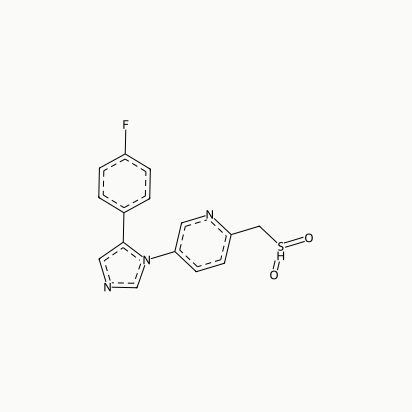 O=[SH](=O)Cc1ccc(-n2cncc2-c2ccc(F)cc2)cn1